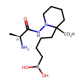 C[C@H](N)C(=O)NN1CCCCC1(CCCCB(O)O)C(=O)O